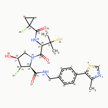 Cc1ncsc1-c1ccc(CNC(=O)[C@H]2[C@@H](F)[C@@H](O)CN2C(=O)[C@@H](NC(=O)C2(F)CC2)C(C)(C)S)cc1